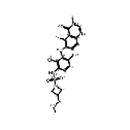 COCC1CN(S(=O)(=O)Nc2ccc(F)c(Oc3ccc4ncn(C)c(=O)c4c3F)c2Cl)C1